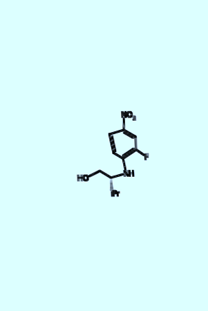 CC(C)[C@H](CO)Nc1ccc([N+](=O)[O-])cc1F